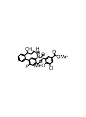 COC(=O)c1cc(Cl)c(OC)c(S(=O)(=O)Nc2cc(-c3ccccc3C(C)CCO)c(F)cc2F)c1